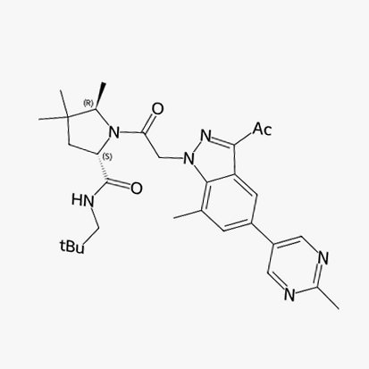 CC(=O)c1nn(CC(=O)N2[C@H](C(=O)NCC(C)(C)C)CC(C)(C)[C@H]2C)c2c(C)cc(-c3cnc(C)nc3)cc12